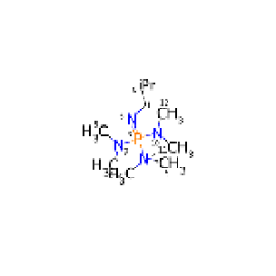 CC(C)CN=P(N(C)C)(N(C)C)N(C)C